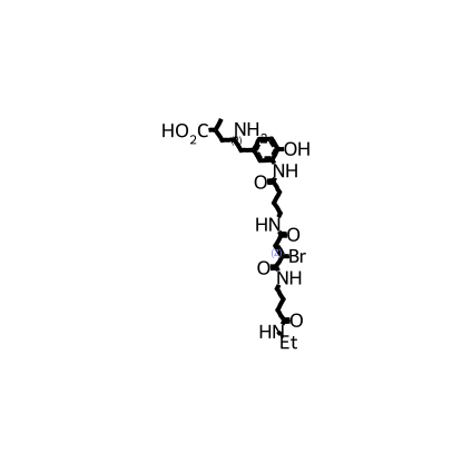 CCNC(=O)CCCNC(=O)/C(Br)=C/C(=O)NCCCC(=O)Nc1cc(C[C@H](N)CC(C)C(=O)O)ccc1O